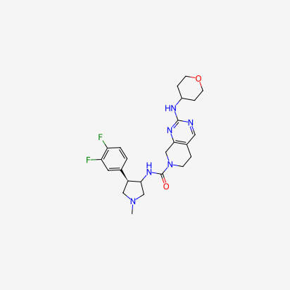 CN1CC(NC(=O)N2CCc3cnc(NC4CCOCC4)nc3C2)[C@H](c2ccc(F)c(F)c2)C1